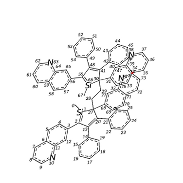 C[Si]1=C(c2ccc3cccnc3c2)C(c2ccccc2)=C(c2ccccc2)C1(CCC1(c2ccc3cccnc3c2)C(c2ccccc2)=C(c2ccccc2)C(c2ccc3cccnc3c2)=[Si]1C)c1ccc2cccnc2c1